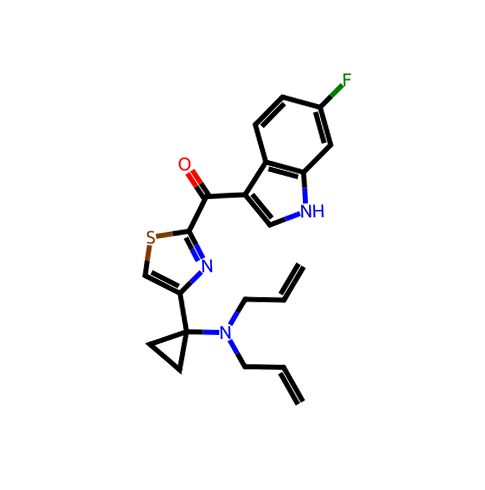 C=CCN(CC=C)C1(c2csc(C(=O)c3c[nH]c4cc(F)ccc34)n2)CC1